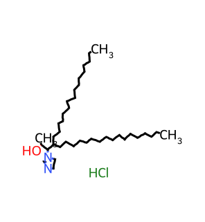 CCCCCCCCCCCCCCCCCC(CCCCCCCCCCCCCCCC)C(C(C)O)N1C=NCC1.Cl